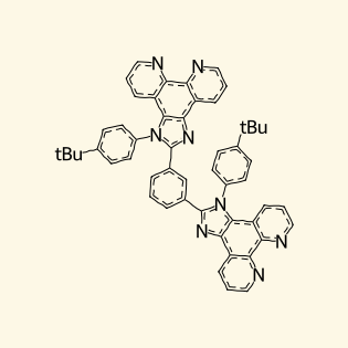 CC(C)(C)c1ccc(-n2c(-c3cccc(-c4nc5c6cccnc6c6ncccc6c5n4-c4ccc(C(C)(C)C)cc4)c3)nc3c4cccnc4c4ncccc4c32)cc1